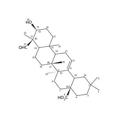 CC1(C)CC[C@]2(C(=O)O)CC[C@]3(C)C(=CCC4C5(C)CC[C@H](O)[C@](C)(C=O)C5CC[C@]43C)C2C1